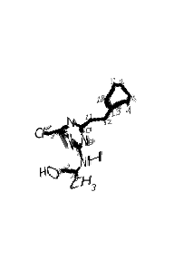 CC(CO)Nc1nc(Cl)nc(CCc2ccccc2)n1